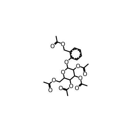 CC(=O)OCc1ccccc1OC1OC(COC(C)=O)C(OC(C)=O)C(OC(C)=O)C1OC(C)=O